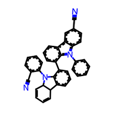 N#Cc1ccc2c(c1)c1cccc(-c3cccc4c3N(c3ccccc3C#N)C3C=CC=CC43)c1n2-c1ccccc1